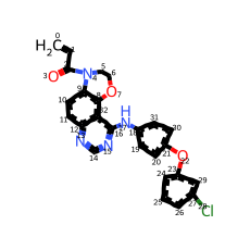 C=CC(=O)N1CCOc2c1ccc1ncnc(Nc3ccc(Oc4cccc(Cl)c4)cc3)c21